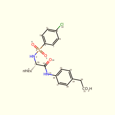 CCCCCC[C@H](NS(=O)(=O)c1ccc(Cl)cc1)C(=O)Nc1ccc(CC(=O)O)cc1